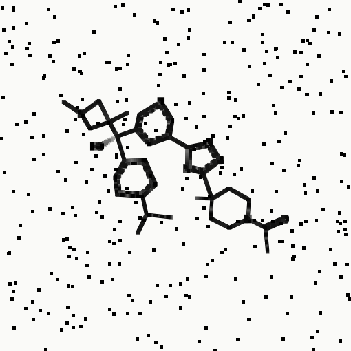 CC(=O)N1CCC(C)(c2nc(-c3cncc([C@@](O)(c4ccc(C(C)C)cc4)C4(C)CN(C)C4)c3)no2)CC1